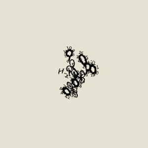 NC(CC(=O)OCc1ccccc1)(C(=O)OCC1c2ccccc2-c2ccccc21)c1ccc(OS(=O)(=O)c2ccccc2)cc1